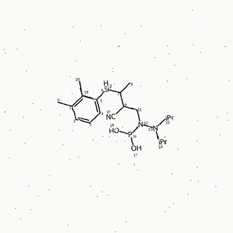 Cc1cccc([SiH2]C(C)C(C#N)CN(N(C(C)C)C(C)C)P(O)O)c1C